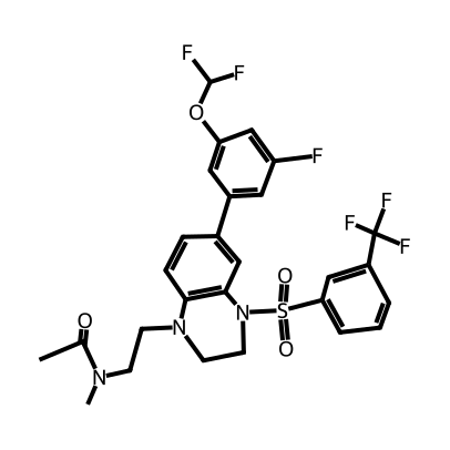 CC(=O)N(C)CCN1CCN(S(=O)(=O)c2cccc(C(F)(F)F)c2)c2cc(-c3cc(F)cc(OC(F)F)c3)ccc21